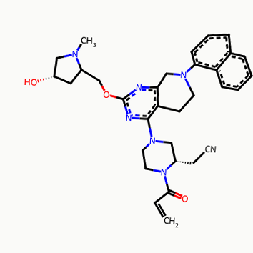 C=CC(=O)N1CCN(c2nc(OCC3C[C@H](O)CN3C)nc3c2CCN(c2cccc4ccccc24)C3)C[C@@H]1CC#N